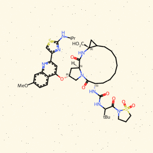 COc1ccc2c(O[C@@H]3C[C@H]4C(=O)N[C@]5(C(=O)O)CC5CCCCCCC[C@H](NC(=O)NC(C(=O)N5CCCS5(=O)=O)C(C)(C)C)C(=O)N4C3)cc(-c3csc(NC(C)C)n3)nc2c1